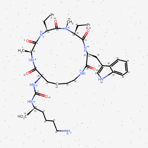 CC(C)C[C@@H]1NC(=O)[C@H](C)NC(=O)[C@H](NC(=O)N[C@@H](CCCCN)C(=O)O)CCCCNC(=O)[C@H](Cc2c[nH]c3ccccc23)NC(=O)[C@H](CC(C)C)N(C)C1=O